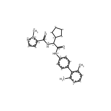 Cc1ccnc(C)c1-c1ccc(NC(=O)C(NC(=O)c2ccnn2C)C2CCCC2)cc1